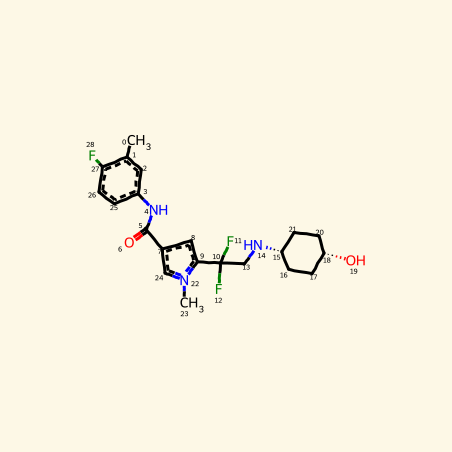 Cc1cc(NC(=O)c2cc(C(F)(F)CN[C@H]3CC[C@@H](O)CC3)n(C)c2)ccc1F